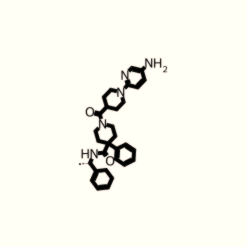 C[C@H](NC(=O)C1(c2ccccc2)CCN(C(=O)C2CCN(c3ccc(N)cn3)CC2)CC1)C1=CC=CCC1